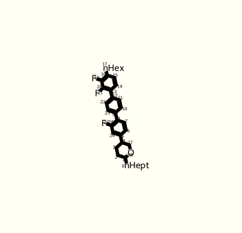 CCCCCCCC1CCC(c2ccc(-c3ccc(-c4ccc(CCCCCC)c(F)c4F)cc3)c(F)c2)CO1